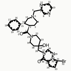 O=C([C@@H]1CCN(Cc2cnccn2)C[C@H]1c1ccccc1)N1CCC(O)(Cn2cnn3c(Br)ccc3c2=O)CC1